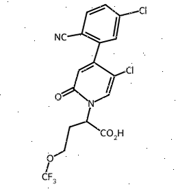 N#Cc1ccc(Cl)cc1-c1cc(=O)n(C(CCOC(F)(F)F)C(=O)O)cc1Cl